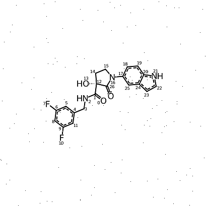 O=C(NCc1cc(F)cc(F)c1)[C@@]1(O)CCN(c2ccc3[nH]ccc3c2)C1=O